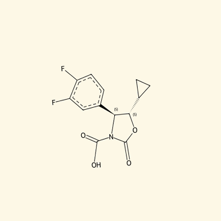 O=C(O)N1C(=O)O[C@@H](C2CC2)[C@@H]1c1ccc(F)c(F)c1